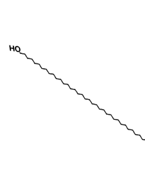 C[Si](C)(Cl)CCCCCCCCCCCCCCCCCCCCCCCCCCCCCCCCCCCCCCO